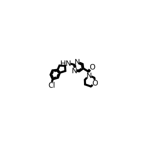 O=C(c1cnc(N[C@@H]2Cc3ccc(Cl)cc3C2)nc1)N1CCCOC1